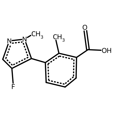 Cc1c(C(=O)O)cccc1-c1c(F)cnn1C